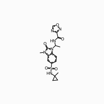 CC(NC(=O)c1ncon1)n1c(=O)n(C)c2cc(S(=O)(=O)NC3(C)CC3)ccc21